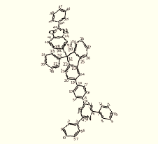 c1ccc(-c2nc(-c3ccccc3)nc(-c3ccc(-c4ccc5c(c4)-c4ccccc4C5(c4ccccc4)c4ccc5oc(-c6ccccc6)nc5c4)cc3)n2)cc1